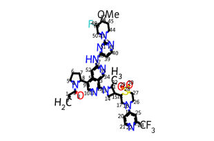 C=CC(=O)N1CCCC1c1cnc(N2CC(C3CN(c4ccnc(C(F)(F)F)c4)CCS3(=O)=O)C2C)c2cnc(Nc3ccnc(N4CC[C@@H](OC)[C@@H](F)C4)n3)cc12